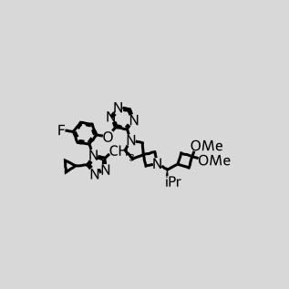 COC1(OC)CC([C@@H](C(C)C)N2CC3(CCN(c4ncnnc4Oc4ccc(F)cc4-n4c(C)nnc4C4CC4)C3)C2)C1